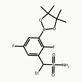 CCC(c1cc(F)cc(B2OC(C)(C)C(C)(C)O2)c1F)S(N)(=O)=O